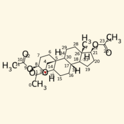 CC(=O)OC[C@]12CC[C@H](OC(C)=O)C[C@@H]1CC[C@H]1[C@@H]3CC[C@H](OC(C)=O)[C@@]3(C)CC[C@@H]12